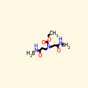 BNC(=O)CCN(CCC(=O)NB)C(=O)OCC